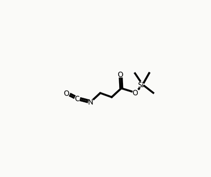 C[Si](C)(C)OC(=O)CCN=C=O